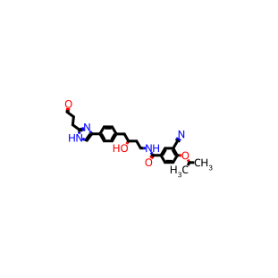 CC(C)Oc1ccc(C(=O)NCCC(O)Cc2ccc(-c3c[nH]c(CCC=O)n3)cc2)cc1C#N